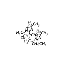 CCC(=NC(C)C)NC(C)C.CCC(=NC(C)C)NC(C)C.[Co]